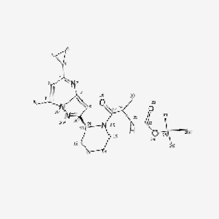 Cc1cc(C2CC2)nc2cc([C@@H]3CCCCN3C(=O)C(C)NC(=O)OC(C)(C)C)nn12